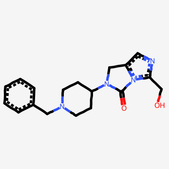 O=C1N(C2CCN(Cc3ccccc3)CC2)Cc2cnc(CO)n21